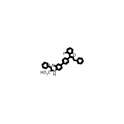 O=C(O)C(Cc1ccccc1)Nc1ccc(-c2ccc(-c3c(Cc4ccccc4)oc4cccc(F)c34)cc2)cc1[N+](=O)[O-]